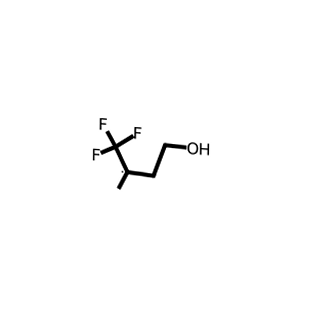 C[C](CCO)C(F)(F)F